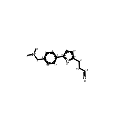 CN(C)Cc1ccc(-c2ccc(CCC=O)o2)cc1